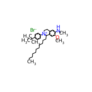 CCCCCCCCCCCC1=[N+](c2ccc(C(C)(C)C)cc2)CCc2cc(NC)c(OC)cc21.[Br-]